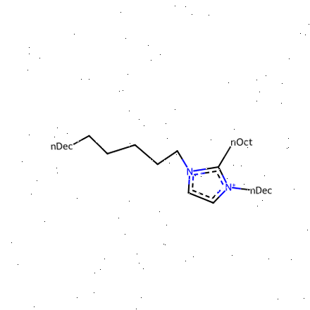 CCCCCCCCCCCCCCCn1cc[n+](CCCCCCCCCC)c1CCCCCCCC